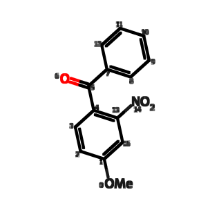 COc1ccc(C(=O)c2ccccc2)c([N+](=O)[O-])c1